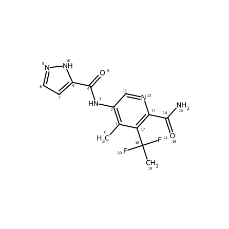 Cc1c(NC(=O)c2ccn[nH]2)cnc(C(N)=O)c1C(C)(F)F